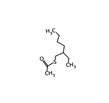 CCCCC(CC)CSC(C)=O